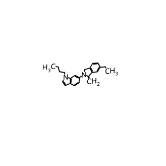 C=C1c2cc(CC)ccc2CN1c1ccc2ccn(CCCC)c2c1